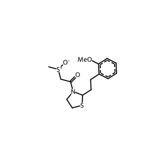 COc1ccccc1CCC1SCCN1C(=O)C[S+](C)[O-]